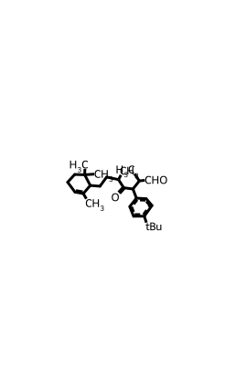 CC1=CCCC(C)(C)C1CCC(C)C(=O)C(c1ccc(C(C)(C)C)cc1)C(C)C=O